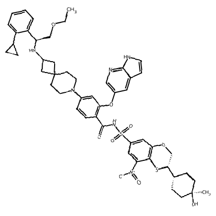 CCOC[C@@H](NC1CC2(CCN(c3ccc(C(=O)NS(=O)(=O)c4cc5c(c([N+](=O)[O-])c4)S[C@@H]([C@H]4CC[C@](C)(O)CC4)CO5)c(Oc4cnc5[nH]ccc5c4)c3)CC2)C1)c1ccccc1C1CC1